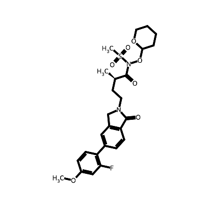 COc1ccc(-c2ccc3c(c2)CN(CC[C@@H](C)C(=O)N(OC2CCCCO2)S(C)(=O)=O)C3=O)c(F)c1